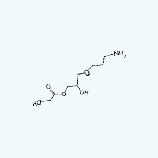 NCCCOCC(O)COC(=O)CO